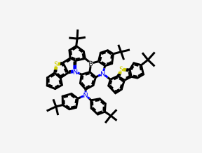 CC(C)(C)c1ccc(N(c2ccc(C(C)(C)C)cc2)c2cc3c4c(c2)-n2c5c(cc(C(C)(C)C)cc5c5sc6ccccc6c52)B4c2ccc(C(C)(C)C)cc2N3c2cccc3c2sc2cc(C(C)(C)C)ccc23)cc1